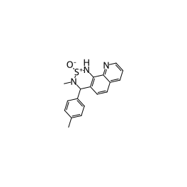 Cc1ccc(C2c3ccc4cccnc4c3N[S+]([O-])N2C)cc1